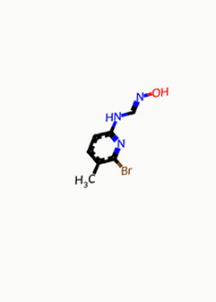 Cc1ccc(N/C=N/O)nc1Br